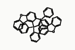 c1ccc(N(c2ccc3oc4ccccc4c3c2C2(c3ccccc3)c3ccccc3-c3ccccc32)c2cccc3oc4ccccc4c23)cc1